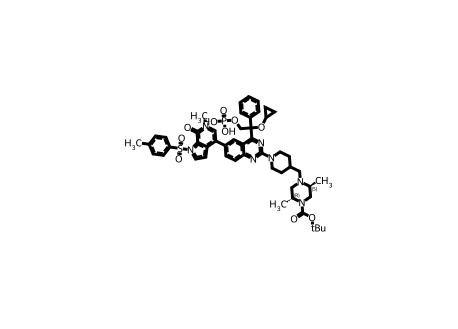 Cc1ccc(S(=O)(=O)n2ccc3c(-c4ccc5nc(N6CCC(CN7C[C@@H](C)N(C(=O)OC(C)(C)C)C[C@@H]7C)CC6)nc(C(COP(=O)(O)O)(OC6CC6)c6ccccc6)c5c4)cn(C)c(=O)c32)cc1